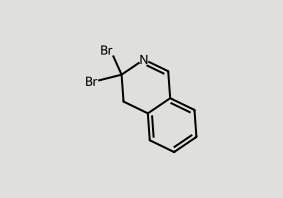 BrC1(Br)Cc2ccccc2C=N1